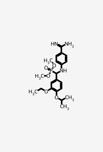 CCOc1cc(C(Nc2ccc(C(=N)N)cc2)P(=O)(OC)OC)ccc1OC(C)C